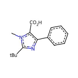 Cn1c(C(C)(C)C)nc(-c2ccccc2)c1C(=O)O